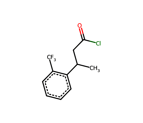 CC(CC(=O)Cl)c1ccccc1C(F)(F)F